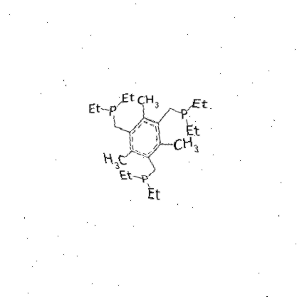 CCP(CC)Cc1c(C)c(CP(CC)CC)c(C)c(CP(CC)CC)c1C